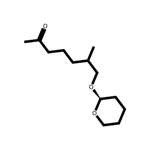 CC(=O)CCCC(C)CO[C@H]1CCCCO1